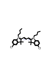 CCCCN1/C(=C/C=C/C2=[N+](CCCC)c3ccc(Cl)cc3C2(C)C)C(C)(C)c2cc(Cl)ccc21